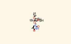 Cc1cn(COC(CO[SiH](C)C)(C(O[SiH](C)C)C(C)(C)C)C(C)(C)C)c(=O)[nH]c1=O